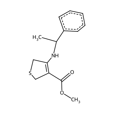 COC(=O)C1=C(NC(C)c2ccccc2)CSC1